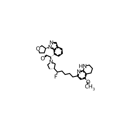 COc1cc(CCCC[C@@H](F)[C@@H]2CCN([C@H](C=O)c3cccc4cnn([C@H]5CCOC5)c34)C2)nc2c1CCCN2